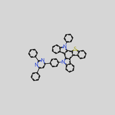 c1ccc(-c2cc(-c3ccc(-n4c5ccccc5c5c6c7ccccc7sc6c6c(c7ccccc7n6-c6ccccc6)c54)cc3)nc(-c3ccccc3)n2)cc1